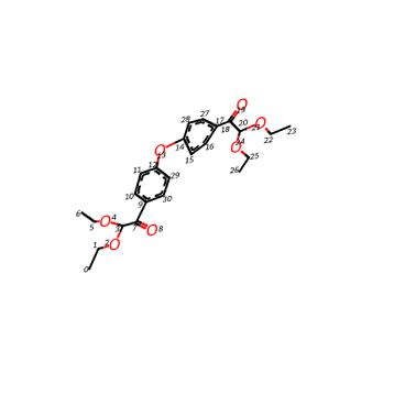 CCOC(OCC)C(=O)c1ccc(Oc2ccc(C(=O)C(OCC)OCC)cc2)cc1